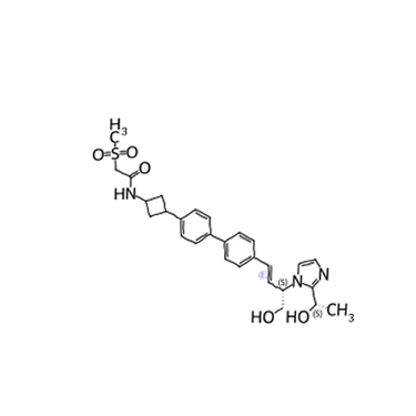 C[C@H](O)c1nccn1[C@@H](/C=C/c1ccc(-c2ccc(C3CC(NC(=O)CS(C)(=O)=O)C3)cc2)cc1)CO